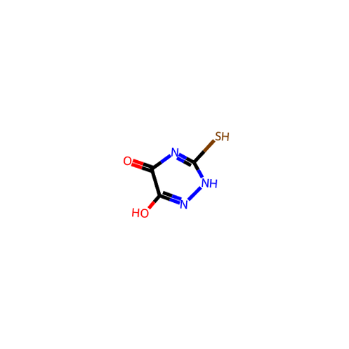 O=c1nc(S)[nH]nc1O